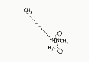 CCCCCCCCCCCCCCCCCCn1cc(CC(C)c2ccccc2)[n+](CC)c1Cc1ccccc1